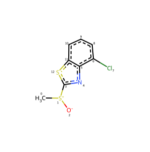 C[S+]([O-])c1nc2c(Cl)cccc2s1